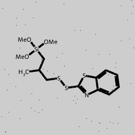 CO[Si](CC(C)CSSc1nc2ccccc2s1)(OC)OC